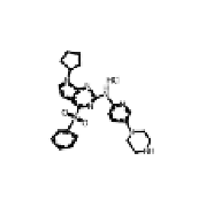 Cl.O=S(=O)(c1ccccc1)c1nc(Nc2ccc(N3CCNCC3)cn2)nc2c1ccn2C1CCCC1